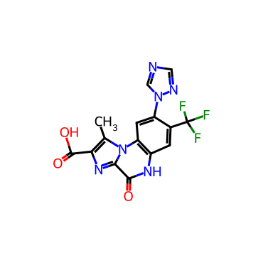 Cc1c(C(=O)O)nc2c(=O)[nH]c3cc(C(F)(F)F)c(-n4cncn4)cc3n12